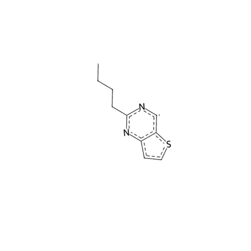 CCCCc1n[c]c2sccc2n1